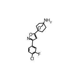 NC12CCC(c3cc(-c4ccc(Cl)c(F)c4)no3)(CC1)OC2